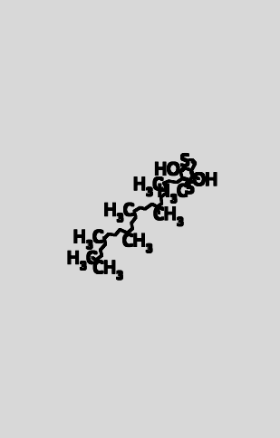 CSc1c(CCC(C)CCCC(C)CCCC(C)CCCC(C)CCCC(C)CCCC(C)C)c(O)c2sccc2c1O